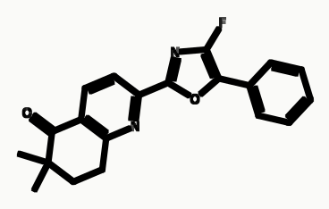 CC1(C)CCc2nc(-c3nc(F)c(-c4ccccc4)o3)ccc2C1=O